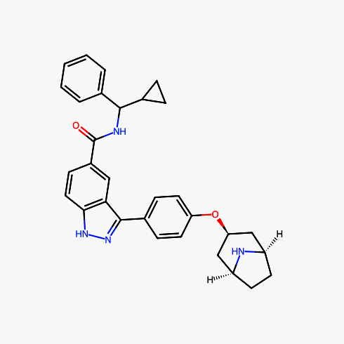 O=C(NC(c1ccccc1)C1CC1)c1ccc2[nH]nc(-c3ccc(O[C@H]4C[C@H]5CC[C@@H](C4)N5)cc3)c2c1